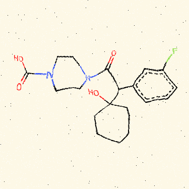 O=C(O)N1CCN(C(=O)C(c2cccc(F)c2)C2(O)CCCCC2)CC1